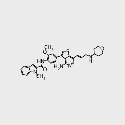 COc1cc(-c2csc3c(/C=C/CNC4CCOCC4)cnc(N)c23)ccc1NC(=O)c1cc2ccccc2n1C